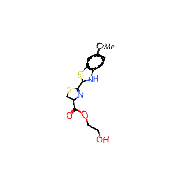 COc1ccc2c(c1)SC(C1=NC(C(=O)OCCO)CS1)N2